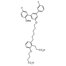 COc1ccc(F)cc1-c1cc(OCCCCCCc2cccc(OCCCC(=O)O)c2CCC(=O)O)cc(-c2cccc(F)c2)c1